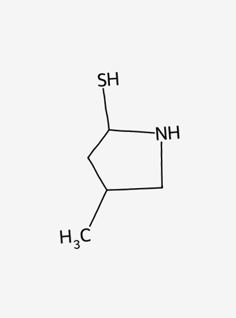 CC1CNC(S)C1